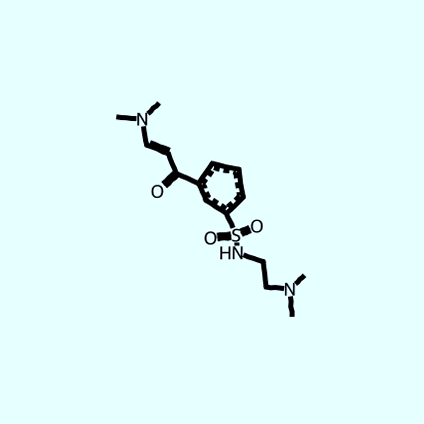 CN(C)/C=C/C(=O)c1cccc(S(=O)(=O)NCCN(C)C)c1